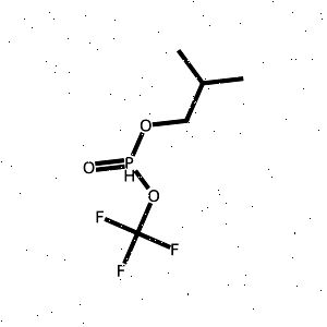 CC(C)CO[PH](=O)OC(F)(F)F